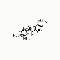 COc1cccc(NC(=O)c2ccc(C)c(N)c2)c1